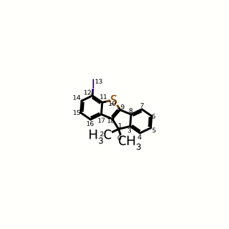 CC1(C)c2ccccc2-c2sc3c(I)cccc3c21